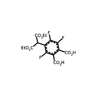 CCOC(=O)C(C(=O)OCC)c1c(F)c(F)c(C(=O)O)c(C(=O)O)c1F